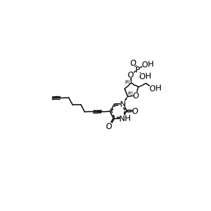 C#CCCCCC#Cc1cn([C@H]2C[C@@H](OP(=O)(O)O)C(CO)O2)c(=O)[nH]c1=O